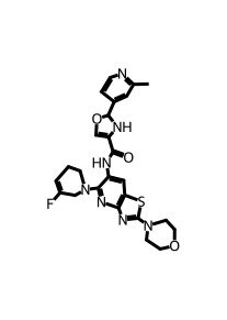 Cc1cc(C2NC(C(=O)Nc3cc4sc(N5CCOCC5)nc4nc3N3CCC=C(F)C3)=CO2)ccn1